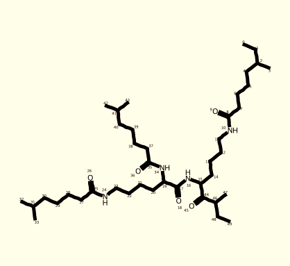 CCC(C)CCCCC(=O)NCCCCC(NC(=O)C(CCCCNC(=O)CCCCC(C)C)NC(=O)CCCCC(C)C)C(=O)C(C)CC